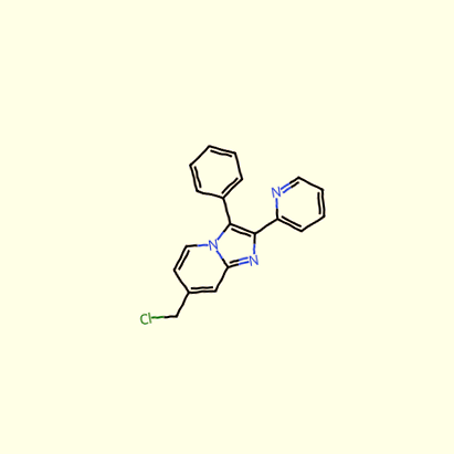 ClCc1ccn2c(-c3ccccc3)c(-c3ccccn3)nc2c1